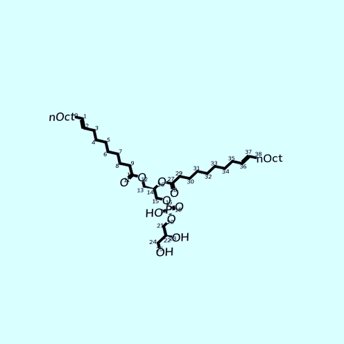 CCCCCCCC/C=C/CCCCCCCC(=O)OC[C@H](COP(=O)(O)OC[C@@H](O)CO)OC(=O)CCCCCCC/C=C/CCCCCCCC